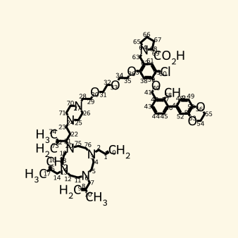 C=CCN1CCN(CC(=C)C)CCN(CC(=C)C)CCN(C(CCN2CCN(CCOCCOCCOc3cc(OCc4cccc(-c5ccc6c(c5)OCCO6)c4C)c(Cl)cc3CN3CCC[C@H]3C(=O)O)CC2)C(=C)C)CC1